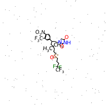 CC(C)(CCC[S+]([O-])CCCC(F)(F)C(F)(F)F)CC(CCN1CC(=O)NC1=O)c1ccc([N+](=O)[O-])c(C(F)(F)F)c1